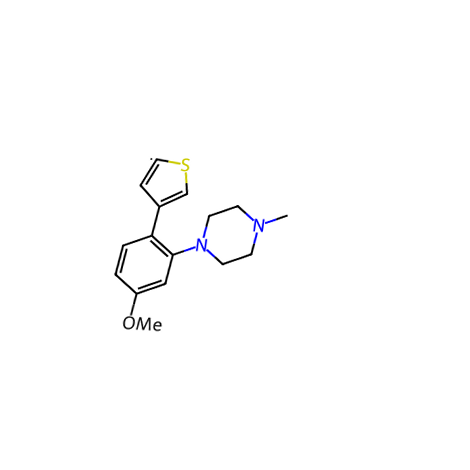 COc1ccc(-c2c[c]sc2)c(N2CCN(C)CC2)c1